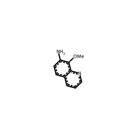 COc1c(N)ccc2cccnc12